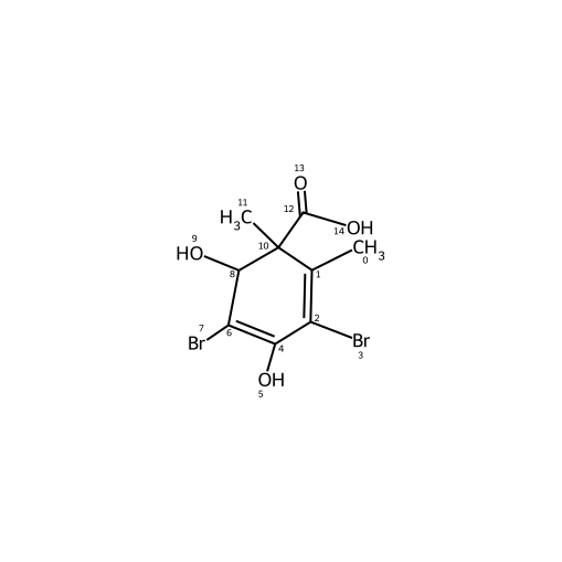 CC1=C(Br)C(O)=C(Br)C(O)C1(C)C(=O)O